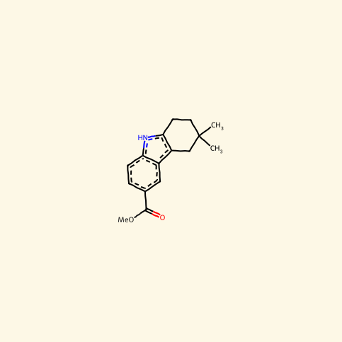 COC(=O)c1ccc2[nH]c3c(c2c1)CC(C)(C)CC3